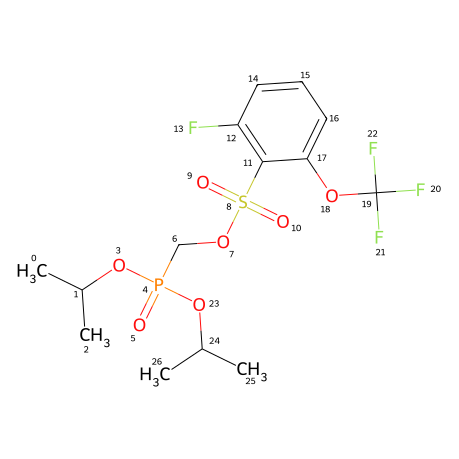 CC(C)OP(=O)(COS(=O)(=O)c1c(F)cccc1OC(F)(F)F)OC(C)C